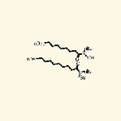 CCCCCCCCCCCCCCCCCC(=O)N(CCCC)CCCC.CCCCCCCCCCCCCCCCCCC(=O)N(CCCC)CCCC